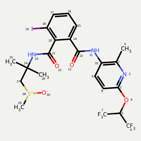 Cc1nc(OC(C(F)(F)F)C(F)(F)F)ccc1NC(=O)c1cccc(I)c1C(=O)NC(C)(C)C[S+](C)[O-]